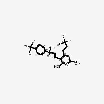 CC(C)(C=Cc1c(N)nc(N)nc1CCC(F)(F)F)c1ccc(C(F)(F)F)cc1